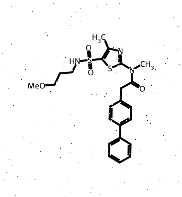 COCCCNS(=O)(=O)c1sc(N(C)C(=O)Cc2ccc(-c3ccccc3)cc2)nc1C